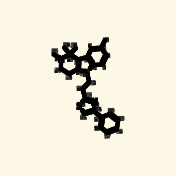 Cc1ccc2c(c1)c1c(n2CCc2nc(-c3ccccc3)cs2)CCN(C)C1(C)C